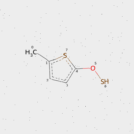 Cc1ccc(OS)s1